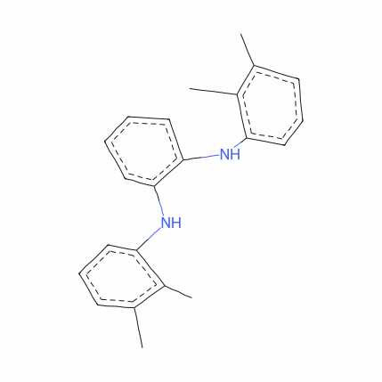 Cc1cccc(Nc2ccccc2Nc2cccc(C)c2C)c1C